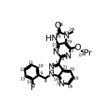 CC(C)Oc1nc(-c2nn(Cc3ccccc3F)c3ncccc23)nc2[nH]c(=O)n(C)c12